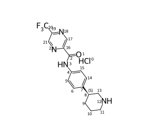 Cl.O=C(Nc1ccc([C@@H]2CCCNC2)cc1)c1cnc(C(F)(F)F)cn1